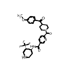 COc1ccc(C(=O)C2CCN(C(=O)c3ccc(C(=O)N[C@@H]4CCNC[C@@H]4C(F)(F)F)cn3)CC2)cc1